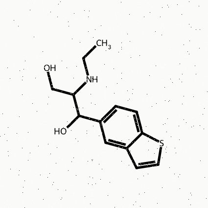 CCNC(CO)C(O)c1ccc2sccc2c1